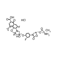 C[C@H](N)C(=O)OC[C@H]1CN(c2ccc(OC[C@]3(O)C[C@H]4COc5c(c(F)cc6c(=O)c(C(=O)O)cn(C7CC7)c56)N4C3)c(F)c2)C(=O)O1.Cl